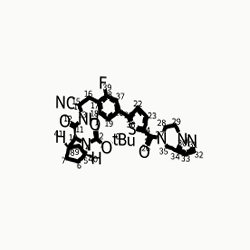 CC(C)(C)OC(=O)N1[C@@H]2CC[C@@H](C2)[C@H]1C(=O)N[C@H](C#N)Cc1ccc(-c2ccc(C(=O)N3CCn4nccc4C3)s2)cc1F